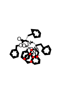 O=C(OCc1ccccc1)[C@H](Cc1ccccc1)N(C[C@H](Cc1ccccc1)N(Cc1ccccc1)Cc1ccccc1)S(=O)(=O)c1ccccc1[N+](=O)[O-]